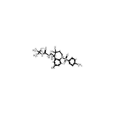 Cc1ccc(S(=O)(=O)N2CCC(F)(F)C(O)(CNC(=O)OC(C)(C)C)c3cc(Cl)ccc32)cc1